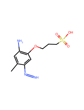 Cc1cc(N)c(OCCCS(=O)(=O)O)cc1N=N